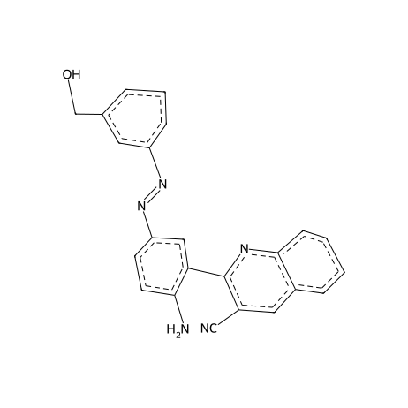 N#Cc1cc2ccccc2nc1-c1cc(N=Nc2cccc(CO)c2)ccc1N